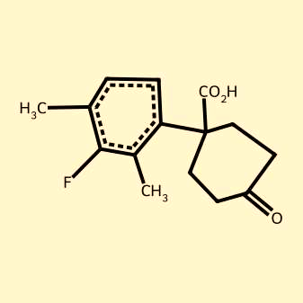 Cc1ccc(C2(C(=O)O)CCC(=O)CC2)c(C)c1F